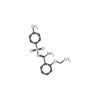 CCOc1ccccc1C(N)=NS(=O)(=O)c1ccc(C)cc1